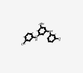 CC(C)(C)c1cc(Nc2cccc(Cl)c2)cc(Nc2cccc(Cl)c2)c1